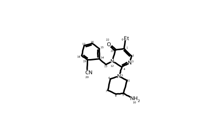 CCc1cnc(N2CCCC(N)C2)n(Cc2ccccc2C#N)c1=O